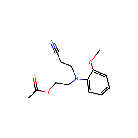 COc1ccccc1N(CCC#N)CCOC(C)=O